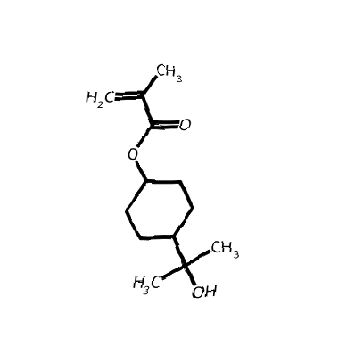 C=C(C)C(=O)OC1CCC(C(C)(C)O)CC1